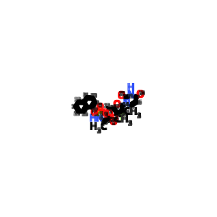 COC(=O)[C@H](C)NP(=O)(OC[C@H]1OC(n2ccc(=O)[nH]c2=O)[C@](C)(F)[C@@H]1O)Oc1cccc2ccccc12